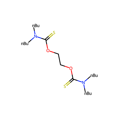 CCCCN(CCCC)C(=S)OCCOC(=S)N(CCCC)CCCC